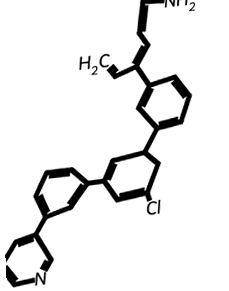 C=C/C(=C\C=C/N)c1cccc(C2C=C(c3cccc(-c4cccnc4)c3)C=C(Cl)C2)c1